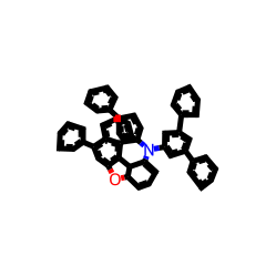 C1=CC2Oc3cc(-c4ccccc4)c4ccccc4c3C2C(N(c2ccc(-c3ccccc3)cc2)c2cc(-c3ccccc3)cc(-c3ccccc3)c2)=C1